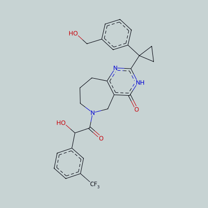 O=C(C(O)c1cccc(C(F)(F)F)c1)N1CCCc2nc(C3(c4cccc(CO)c4)CC3)[nH]c(=O)c2C1